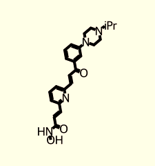 CC(C)N1CCN(c2cccc(C(=O)/C=C/c3cccc(/C=C/C(=O)NO)n3)c2)CC1